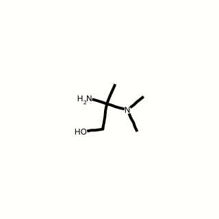 CN(C)C(C)(N)CO